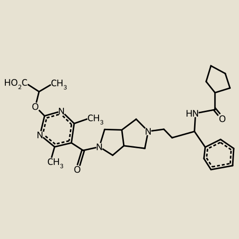 Cc1nc(OC(C)C(=O)O)nc(C)c1C(=O)N1CC2CN(CCC(NC(=O)C3CCCC3)c3ccccc3)CC2C1